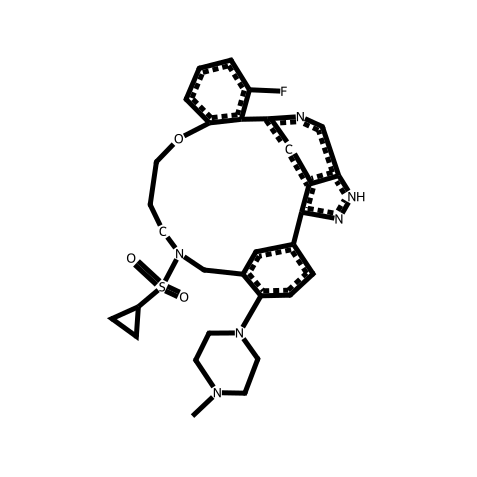 CN1CCN(c2ccc3cc2CN(S(=O)(=O)C2CC2)CCCOc2cccc(F)c2-c2cc4c-3n[nH]c4cn2)CC1